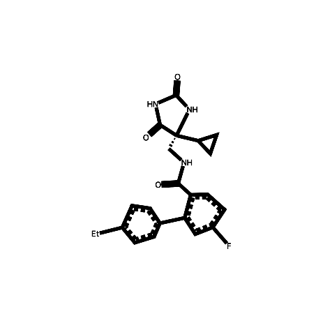 CCc1ccc(-c2cc(F)ccc2C(=O)NC[C@@]2(C3CC3)NC(=O)NC2=O)cc1